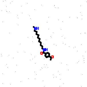 CNCCCCCCCCCCCNC(=O)c1ccc(C(C)=O)cc1